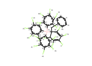 FC1=C(F)C(F)C(Cc2ccccc2)([B-](c2c(F)c(F)c(F)c(F)c2F)(c2c(F)c(F)c(F)c(F)c2F)c2c(F)c(F)c(F)c(F)c2F)C(F)=C1F